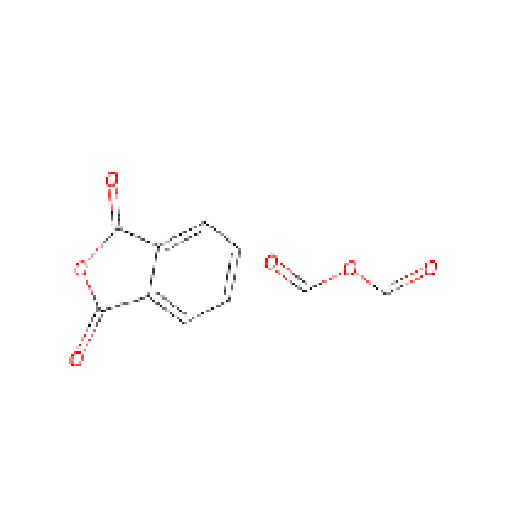 O=C1OC(=O)c2ccccc21.O=COC=O